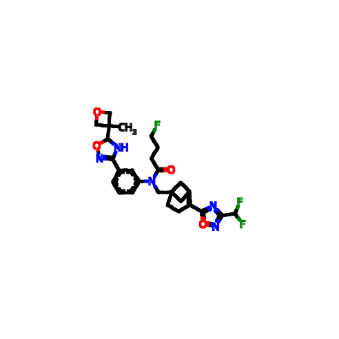 CC1(C2NC(c3cccc(N(CC45CCC(c6nc(C(F)F)no6)=C(C4)C5)C(=O)CCCF)c3)=NO2)COC1